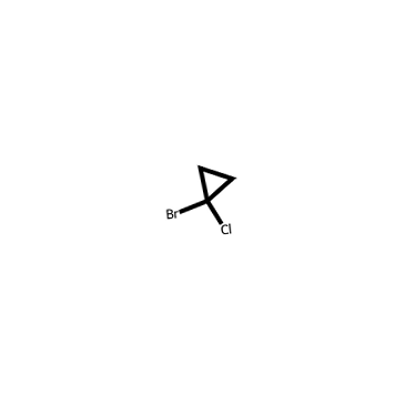 ClC1(Br)[CH]C1